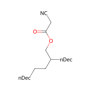 CCCCCCCCCCCCC(CCCCCCCCCC)COC(=O)CC#N